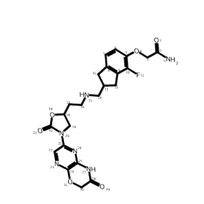 NC(=O)COc1ccc2c(c1F)CC(CNCCC1CN(c3cnc4c(n3)NC(=O)CO4)C(=O)O1)C2